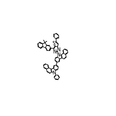 CC1(C)c2ccccc2-c2ccc(-c3nc(-n4c5ccc(-c6ccc7c(c6)c6c8ccccc8ccc6n7-c6ccccc6)cc5c5ccc6ccccc6c54)nc4cc(-c5ccccc5)sc34)cc21